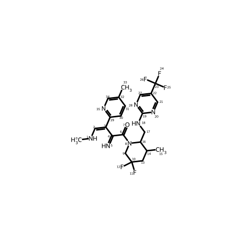 CN/C=C(\C(=N)C(=O)N1CC(F)(F)CC(C)C1CNc1ncc(C(F)(F)F)cn1)c1ccc(C)cn1